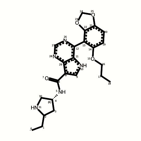 [CH2]CC1C[C@@H](NC(=O)c2c[nH]c3c(-c4c(OCCC)ccc5c4OCO5)ncnc23)CN1